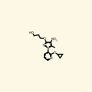 Cc1c([N+](=O)[O-])c(OCCCO)nn1-c1cccnc1OC1CC1